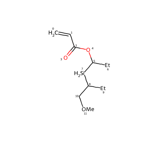 C=CC(=O)OC(CC)[SiH2]C(CC)COC